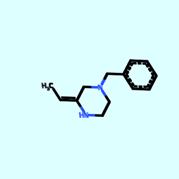 CC=C1CN(Cc2ccccc2)CCN1